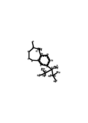 CC1CCCc2cc(C(O)(C(F)(F)F)C(F)(F)F)ccc2N1